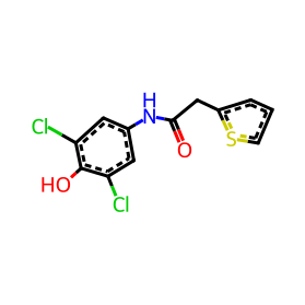 O=C(Cc1cccs1)Nc1cc(Cl)c(O)c(Cl)c1